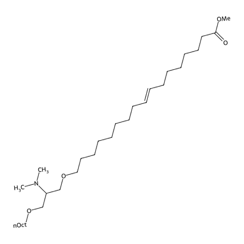 CCCCCCCCOCC(COCCCCCCCCC=CCCCCCCC(=O)OC)N(C)C